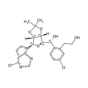 CC1(C)O[C@H]2[C@@H](O1)[C@H](n1ccc3c(Cl)ncnc31)O[C@@H]2[C@H](O)c1ccc(Cl)cc1CCO